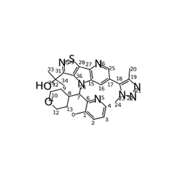 Cc1cccnc1C(C1CCOCC1)n1c2cc(-c3c(C)nnn3C)cnc2c2snc(C(C)(C)O)c21